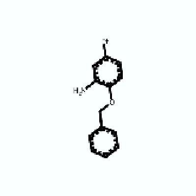 C[CH]c1ccc(OCc2ccccc2)c(N)c1